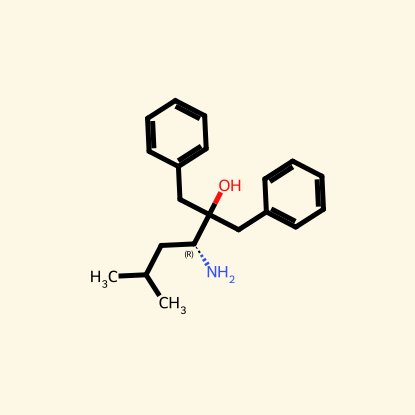 CC(C)C[C@@H](N)C(O)(Cc1ccccc1)Cc1ccccc1